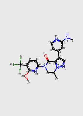 CNc1cc(-c2cnn3c2C(=O)N(c2ccc(C(F)(F)F)c(OC)n2)CC3C)ccn1